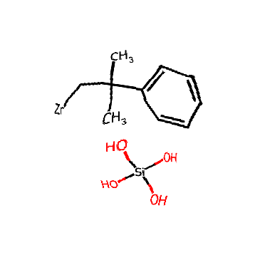 CC(C)([CH2][Zr])c1ccccc1.O[Si](O)(O)O